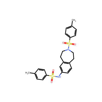 Cc1ccc(S(=O)(=O)Nc2ccc3c(c2)CCN(S(=O)(=O)c2ccc(C)cc2)CC3)cc1